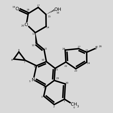 Cc1ccc2nc(C3CC3)c(/C=C/[C@@H]3C[C@@H](O)CC(=O)O3)c(-c3ccc(F)cc3)c2c1